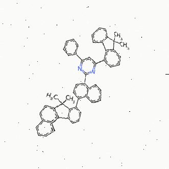 CC1(C)c2ccccc2-c2c(-c3cc(-c4ccccc4)nc(-c4ccc(-c5cccc6c5C(C)(C)c5ccc7ccccc7c5-6)c5ccccc45)n3)cccc21